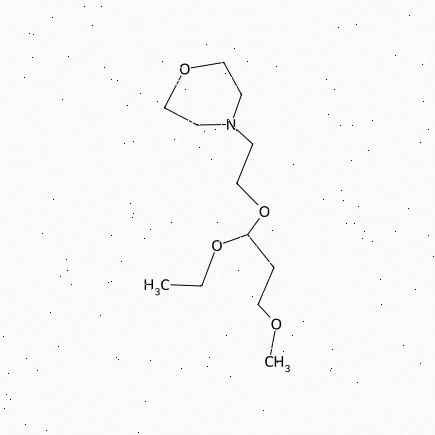 CCOC(CCOC)OCCN1CCOCC1